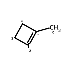 CC1=ICC1